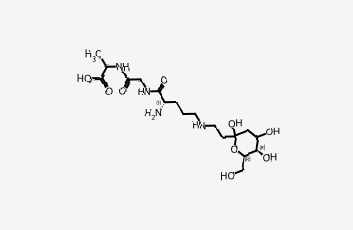 CC(NC(=O)CNC(=O)[C@@H](N)CCCNCCC1(O)CC(O)[C@@H](O)[C@@H](CO)O1)C(=O)O